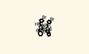 O=C(CN1C(=O)C2C3C=CC(C3)C2C1=O)Nc1ccc(Br)cc1.O=C(CN1C(=O)NC2(CCCCCC2)C1=O)Nc1ccc(Br)cc1